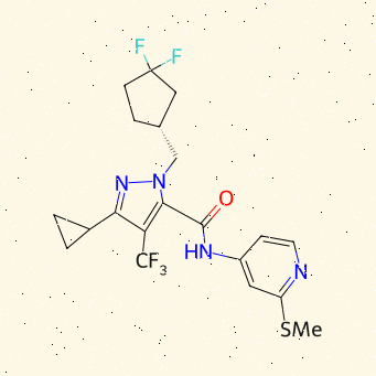 CSc1cc(NC(=O)c2c(C(F)(F)F)c(C3CC3)nn2C[C@@H]2CCC(F)(F)C2)ccn1